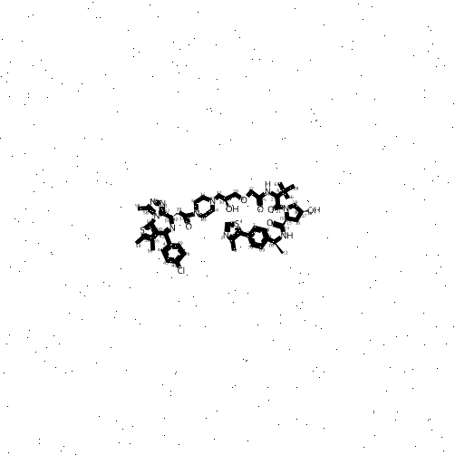 Cc1ncsc1-c1ccc([C@H](C)NC(=O)[C@@H]2C[C@@H](O)CN2C(=O)C(NC(=O)COC[C@@H](O)CN2CCN(C(=O)C[C@@H]3N=C(c4ccc(Cl)cc4)c4c(sc(C)c4C)-n4c(C)nnc43)CC2)C(C)(C)C)cc1